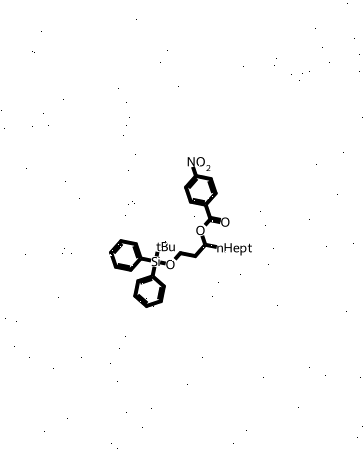 CCCCCCCC(CCO[Si](c1ccccc1)(c1ccccc1)C(C)(C)C)OC(=O)c1ccc([N+](=O)[O-])cc1